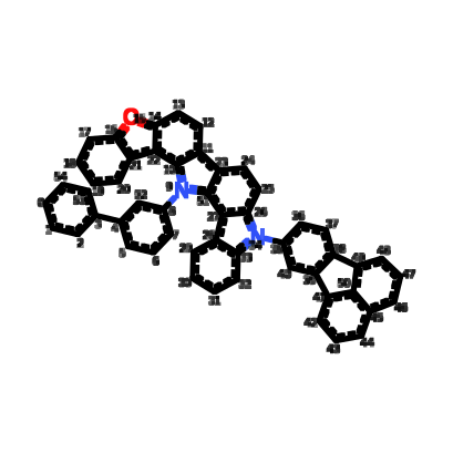 c1ccc(-c2cccc(-n3c4c(ccc5oc6ccccc6c54)c4ccc5c(c6ccccc6n5-c5ccc6c(c5)-c5cccc7cccc-6c57)c43)c2)cc1